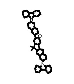 CC1(C)c2cc3cc(-n4c5ccccc5c5ccccc54)ccc3cc2-c2cc3oc4cc5cc(-n6c7ccccc7c7ccccc76)ccc5cc4c3cc21